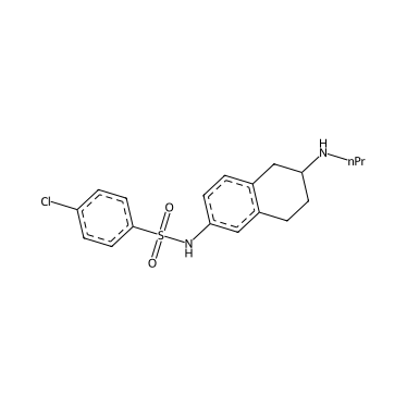 CCCNC1CCc2cc(NS(=O)(=O)c3ccc(Cl)cc3)ccc2C1